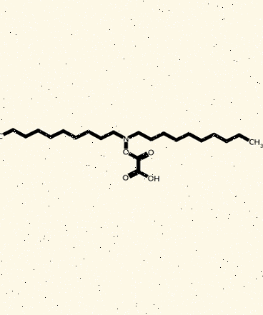 CCCCCCCCCCN(CCCCCCCCCC)OC(=O)C(=O)O